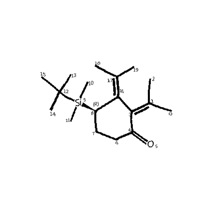 CC(C)=C1C(=O)CC[C@@H]([Si](C)(C)C(C)(C)C)C1=C(C)C